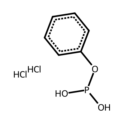 Cl.Cl.OP(O)Oc1ccccc1